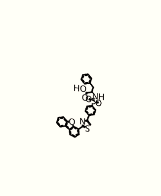 O=C(O)C(Cc1ccccc1)NS(=O)(=O)c1ccc(-c2csc(-c3cccc4c3oc3ccccc34)n2)cc1